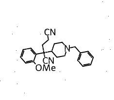 COc1ccccc1C(C#N)(CCC#N)C1CCN(Cc2ccccc2)CC1